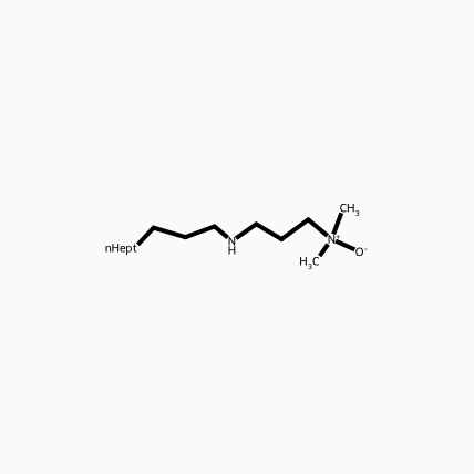 CCCCCCCCCCNCCC[N+](C)(C)[O-]